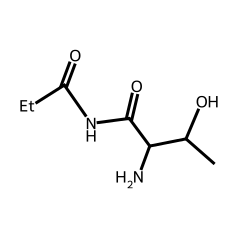 CCC(=O)NC(=O)C(N)C(C)O